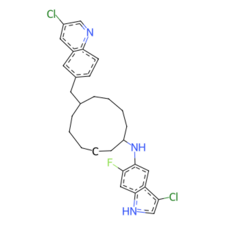 Fc1cc2[nH]cc(Cl)c2cc1NC1CCCCCC(Cc2ccc3ncc(Cl)cc3c2)CCCC1